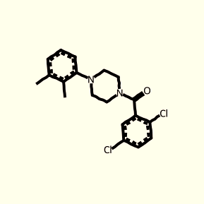 Cc1cccc(N2CCN(C(=O)c3cc(Cl)ccc3Cl)CC2)c1C